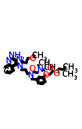 CCN(CC)CC(=O)N(CCCn1c(CCOC)nc2c(N)nc3ccccc3c21)Cc1cccc(OCC(=O)OCC(C)C)c1